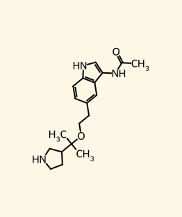 CC(=O)Nc1c[nH]c2ccc(CCOC(C)(C)C3CCNC3)cc12